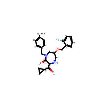 COc1ccc(CN2CC(OCc3ccccc3F)CNC(C(=O)C3CC3)C2=O)cc1